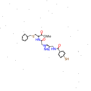 COC(=O)[C@H](CSCc1ccccc1)NC(=O)Cn1cc(CNC(=O)c2ccc(S)cc2)nn1